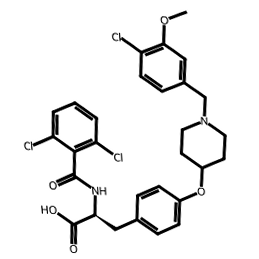 COc1cc(CN2CCC(Oc3ccc(C[C@H](NC(=O)c4c(Cl)cccc4Cl)C(=O)O)cc3)CC2)ccc1Cl